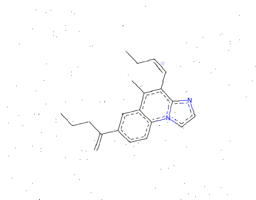 C=C(CCC)c1ccc2c(c1)c(C)c(/C=C\CC)c1nccn12